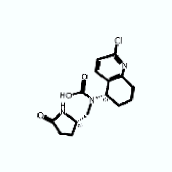 O=C1CC[C@@H](CN(C(=O)O)[C@H]2CCCc3nc(Cl)ccc32)N1